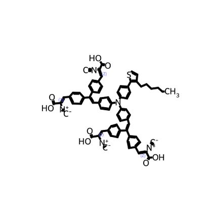 [C-]#[N+]/C(=C\c1ccc(C(=Cc2ccc(N(c3ccc(C=C(c4ccc(/C=C(\[N+]#[C-])C(=O)O)cc4)c4ccc(/C=C(\[N+]#[C-])C(=O)O)cc4)cc3)c3ccc(-c4sccc4CCCCCC)cc3)cc2)c2ccc(/C=C(\[N+]#[C-])C(=O)O)cc2)cc1)C(=O)O